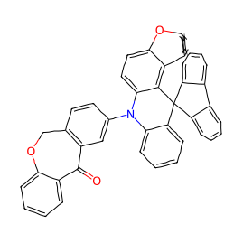 O=C1c2cc(N3c4ccccc4C4(c5ccccc5-c5ccccc54)c4c3ccc3oc5ccccc5c43)ccc2COc2ccccc21